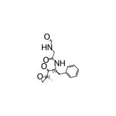 C[C@]1(C(=O)[C@H](Cc2ccccc2)NC(=O)CNC=O)CO1